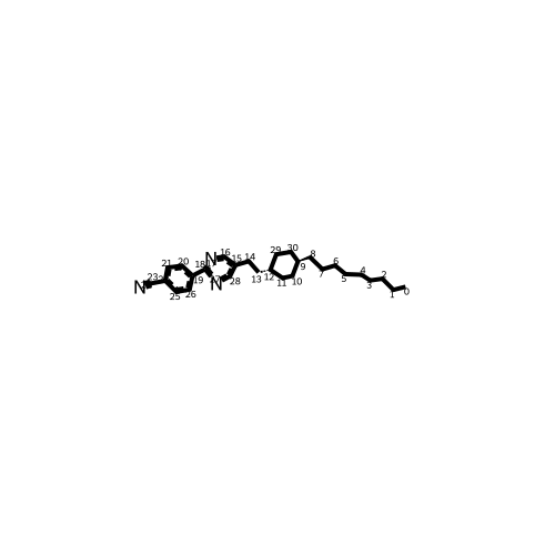 CCCCCCCCC[C@H]1CC[C@H](CCc2cnc(-c3ccc(C#N)cc3)nc2)CC1